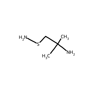 CC(C)(N)CSN